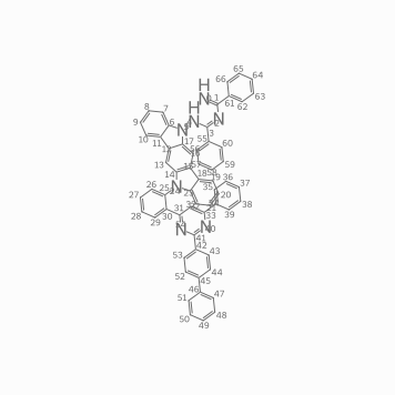 N=C(/N=C(\Nn1c2ccccc2c2cc3c(cc21)c1ccccc1n3-c1ccccc1-c1cc(-c2ccccc2)nc(-c2ccc(-c3ccccc3)cc2)n1)c1ccccc1)c1ccccc1